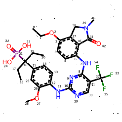 CCOc1ccc(Nc2nc(Nc3ccc(C(CC)(CC)P(=O)(O)O)cc3OC)ncc2C(F)(F)F)c2c1CN(C)C2=O